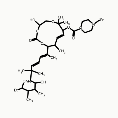 CCC(OC)C(C)C(C)C(O)CC(C)(C)/C=C/C=C(\C)C1OC(=O)CC(O)CCC(C)(C)C(OC(=O)N2CCN(C(C)C)CC2)/C=C/C1C